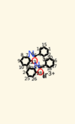 [Ir+3].c1ccc(-c2nc3ccccc3o2)cc1.c1ccc(-c2nc3ccccc3o2)cc1